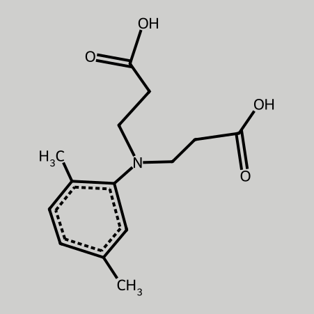 Cc1ccc(C)c(N(CCC(=O)O)CCC(=O)O)c1